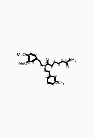 COc1ccc(CCN(CCc2cccc(C(F)(F)F)c2)C(=O)CCCCC(N)=O)cc1OC